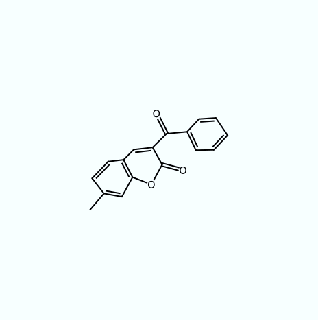 Cc1ccc2cc(C(=O)c3ccccc3)c(=O)oc2c1